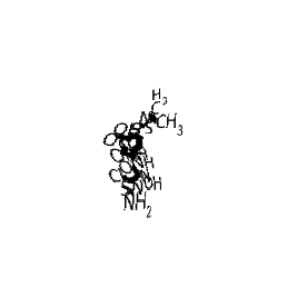 Cc1nc(SC2=C(C(=O)O)N3C(=O)[C@@H](NC(=O)C(=NO)c4nc(N)sc4Cl)[C@H]3CC2)sc1C